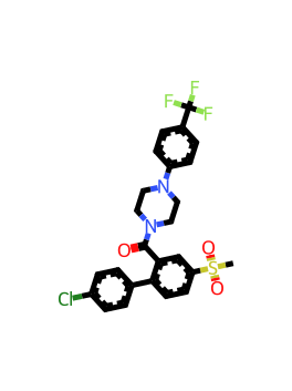 CS(=O)(=O)c1ccc(-c2ccc(Cl)cc2)c(C(=O)N2CCN(c3ccc(C(F)(F)F)cc3)CC2)c1